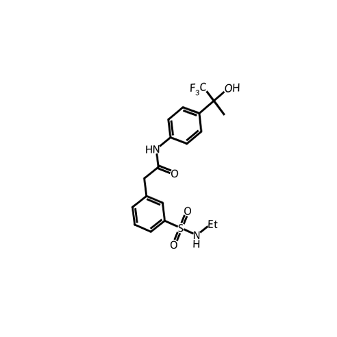 CCNS(=O)(=O)c1cccc(CC(=O)Nc2ccc(C(C)(O)C(F)(F)F)cc2)c1